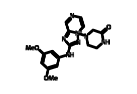 COc1cc(NC2=N[N+]3(N4CCNC(=O)C4)C=CN=CC3=N2)cc(OC)c1